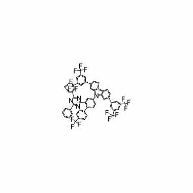 FC(F)(F)c1ccc(-c2ccc(-n3c4cc(-c5cc(C(F)(F)F)cc(C(F)(F)F)c5)ccc4c4ccc(-c5cc(C(F)(F)F)cc(C(F)(F)F)c5)cc43)cc2-c2nc(-c3ccccc3)nc(-c3ccccc3)n2)cc1